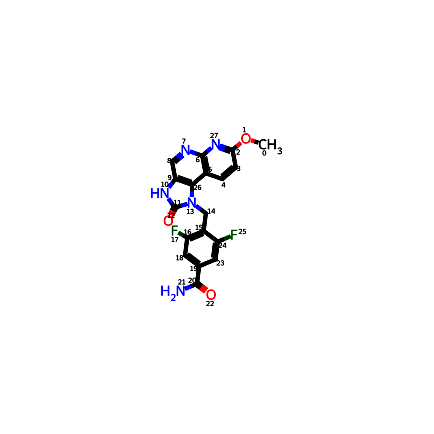 COc1ccc2c(ncc3[nH]c(=O)n(Cc4c(F)cc(C(N)=O)cc4F)c32)n1